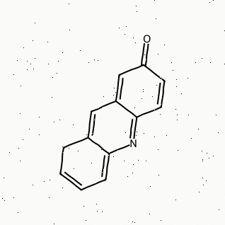 O=C1C=Cc2nc3c(cc2=C1)CC=CC=3